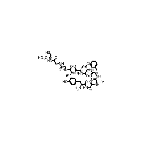 CC(C)[C@H](NC(=O)[C@H](C)NC(=O)[C@@H](N)Cc1ccc(O)cc1)C(=O)N[C@@H](Cc1ccccc1)C(=O)N[C@@H](CO)C(=O)N[C@@H](CO)C(=O)N[C@H](C(=O)NCC(=O)NCC(=O)N[C@@H](CS)C(=O)O)C(C)C